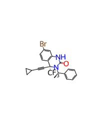 C[C@H](c1ccccc1)N1C(=O)Nc2cc(Br)ccc2[C@@]1(C#CC1CC1)C(F)(F)F